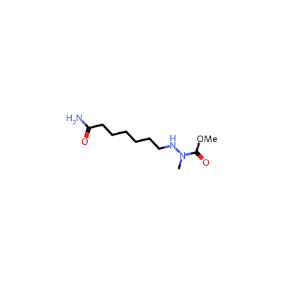 COC(=O)N(C)NCCCCCCC(N)=O